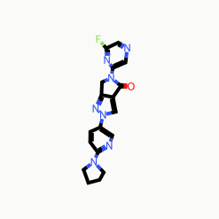 O=C1c2cn(-c3ccc(N4CCCC4)nc3)nc2CN1c1cncc(F)n1